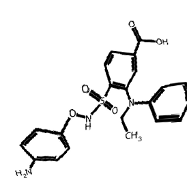 CCN(c1ccccc1)c1cc(C(=O)O)ccc1S(=O)(=O)NOc1ccc(N)cc1